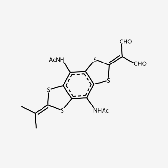 CC(=O)Nc1c2c(c(NC(C)=O)c3c1SC(=C(C=O)C=O)S3)SC(=C(C)C)S2